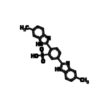 Cc1ccc2[nH]c(-c3ccc(-c4nc5ccc(C)cc5[nH]4)c(S(=O)(=O)O)c3)nc2c1